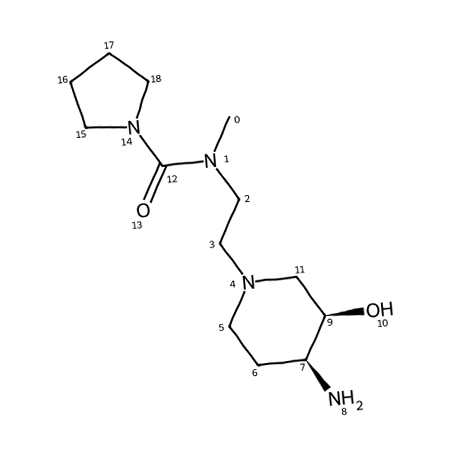 CN(CCN1CC[C@H](N)[C@H](O)C1)C(=O)N1CCCC1